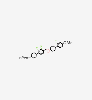 CCCCCC1CCC(c2ccc(COC3CCC(c4ccc(OC)cc4F)CC3)c(F)c2F)CC1